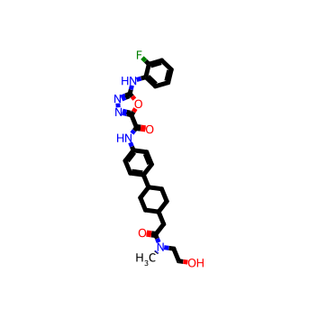 CN(CCO)C(=O)CC1CCC(c2ccc(NC(=O)c3nnc(Nc4ccccc4F)o3)cc2)CC1